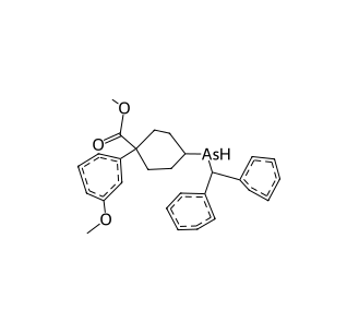 COC(=O)C1(c2cccc(OC)c2)CCC([AsH]C(c2ccccc2)c2ccccc2)CC1